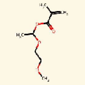 C=C(C)C(=O)OC(C)OCCOC